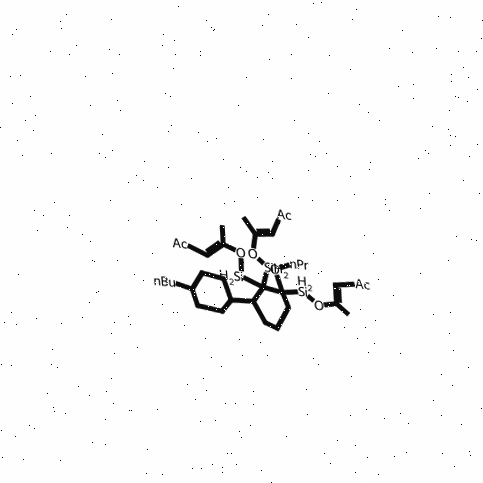 CCCCC1CCC(C2CCCC(OCCC)([SiH2]OC(C)=CC(C)=O)C2([SiH2]OC(C)=CC(C)=O)[SiH2]OC(C)=CC(C)=O)CC1